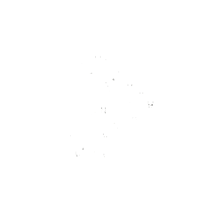 c1ccc2c(c1)Oc1ccccc1C21c2ccccc2-c2cc(N(c3ccc4c(c3)C3(c5ccccc5Oc5ccccc53)c3ccccc3-4)c3cccc4c3-c3ccccc3C43c4ccccc4Oc4ccccc43)ccc21